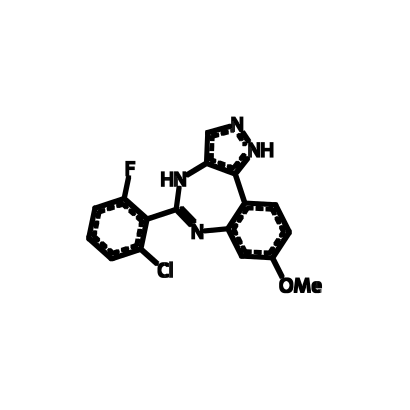 COc1ccc2c(c1)N=C(c1c(F)cccc1Cl)Nc1cn[nH]c1-2